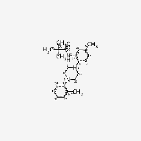 Cc1ccc(N2CCN(c3ccccc3C)CC2)c(NC(=O)C(C)(C)C)c1